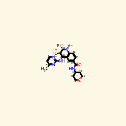 CC[C@H]1[C@H](C)[C@@H](Nc2nccc(C)n2)c2cc(C(=O)NC3CCOCC3)ccc2N1C(C)=O